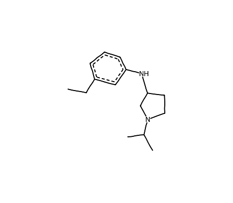 CCc1cccc(NC2CCN(C(C)C)C2)c1